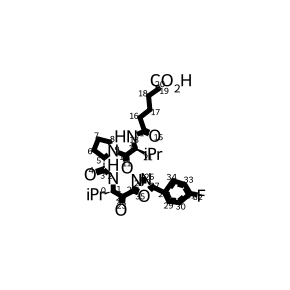 CC(C)[C@H](NC(=O)[C@@H]1CCCN1C(=O)[C@@H](NC(=O)CCCCC(=O)O)C(C)C)C(=O)c1nnc(-c2ccc(F)cc2)o1